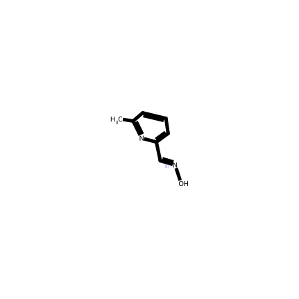 Cc1cccc(/C=N/O)n1